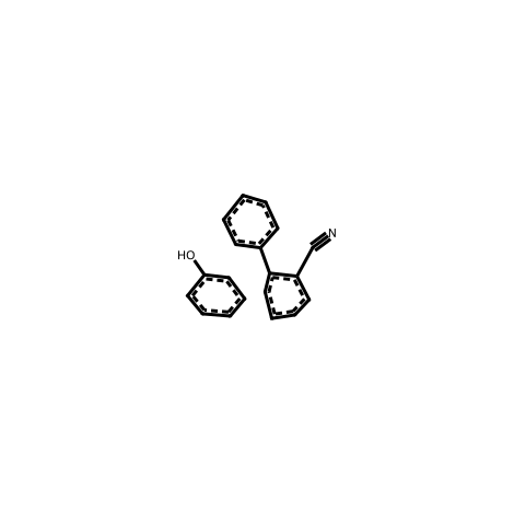 N#Cc1ccccc1-c1ccccc1.Oc1ccccc1